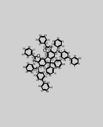 c1ccc(-c2ccc(N(c3ccccc3)c3cc4c(c5oc(-c6ccccc6)nc35)-c3c(cc(N(c5ccccc5)c5ccc(-c6ccccc6)cc5)c5nc(-c6ccccc6)oc35)C4(c3ccccc3)c3ccccc3)cc2)cc1